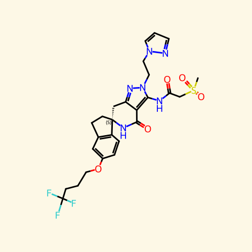 CS(=O)(=O)CC(=O)Nc1c2c(nn1CCn1cccn1)C[C@]1(CCc3cc(OCCCC(F)(F)F)ccc31)NC2=O